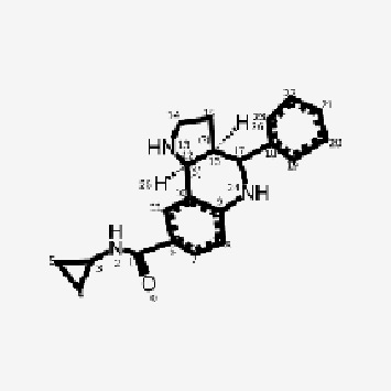 O=C(NC1CC1)c1ccc2c(c1)[C@H]1NCC[C@H]1C(c1ccccc1)N2